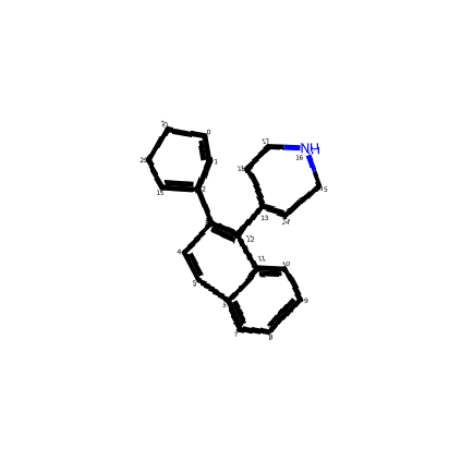 C1=CC(c2ccc3ccccc3c2C2CCNCC2)=CCC1